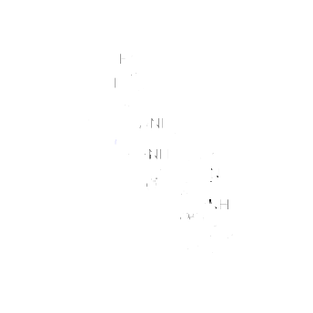 C=C/C=C(\C(N)CCC(F)(F)I)C(C)NC(=O)c1ccnc(NC(=O)C2(C)CC2)c1